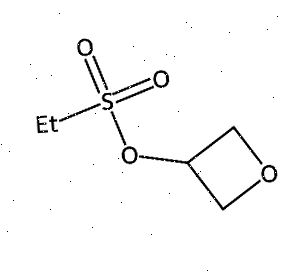 CCS(=O)(=O)OC1COC1